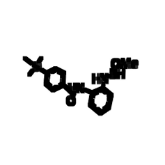 COBNc1ccccc1NC(=O)c1ccc([Si](C)(C)C)cc1